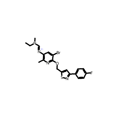 CCN(C)/C=N/c1cc(Br)c(OCc2cc(-c3ccc(F)cc3)ns2)nc1C